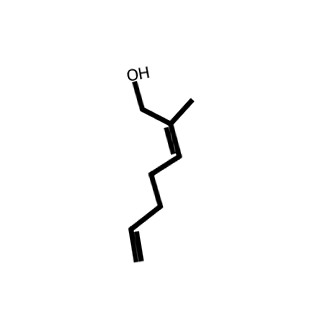 C=CCCC=C(C)CO